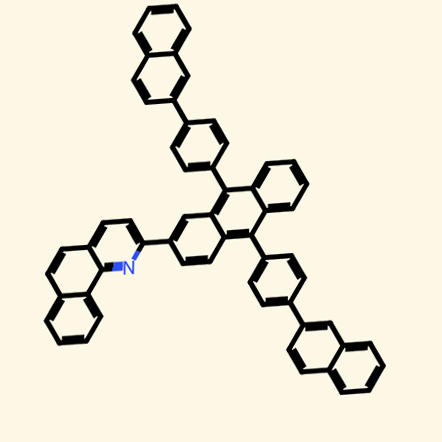 c1ccc2cc(-c3ccc(-c4c5ccccc5c(-c5ccc(-c6ccc7ccccc7c6)cc5)c5cc(-c6ccc7ccc8ccccc8c7n6)ccc45)cc3)ccc2c1